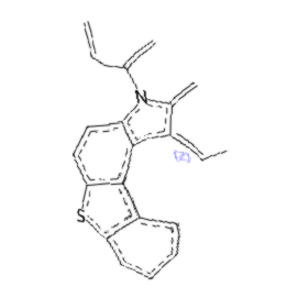 C=CC(=C)n1c(=C)/c(=C\C)c2c3c(ccc21)sc1ccccc13